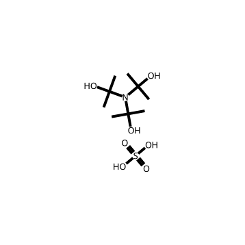 CC(C)(O)N(C(C)(C)O)C(C)(C)O.O=S(=O)(O)O